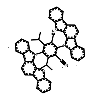 CC(C)c1c(C#N)c(-n2c3ccccc3c3ccc4c5ccccc5sc4c32)c(C#N)c(C(C)C)c1-n1c2ccccc2c2ccc3c4ccccc4sc3c21